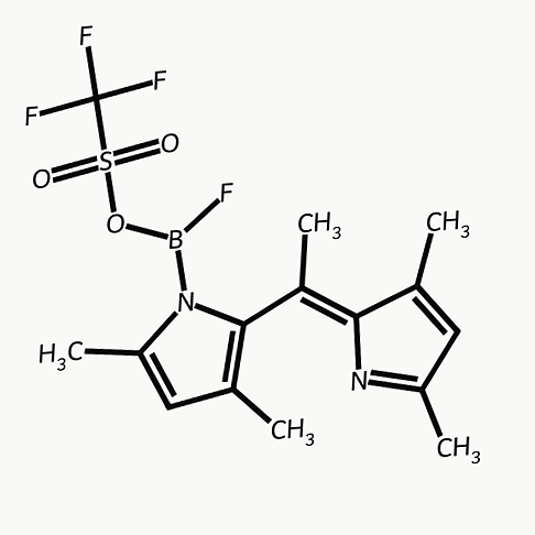 CC1=CC(C)=N/C1=C(/C)c1c(C)cc(C)n1B(F)OS(=O)(=O)C(F)(F)F